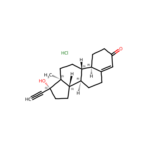 C#C[C@]1(O)CC[C@H]2[C@@H]3CCC4=CC(=O)CC[C@@H]4[C@H]3CC[C@@]21C.Cl